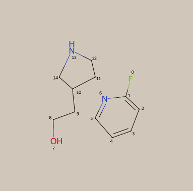 Fc1ccccn1.OCCC1CCNC1